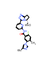 COC[C@H]1CCc2nnc(-c3cccc(NC(=O)c4cc(-n5cnc(C(C)(C)C)c5)c(C)cc4F)n3)n21